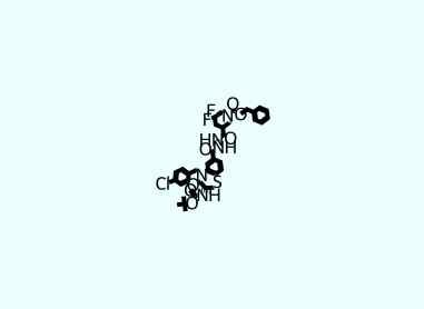 CC(C)(C)OC(=O)N[C@H]1CSc2ccc(C(=O)NNC(=O)C3CN(C(=O)OCc4ccccc4)CC(F)(F)C3)cc2N(Cc2ccc(Cl)cc2)C1=O